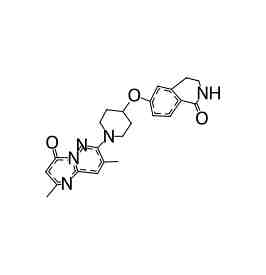 Cc1cc(=O)n2nc(N3CCC(Oc4ccc5c(c4)CCNC5=O)CC3)c(C)cc2n1